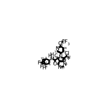 C[C@](C(=O)N[C@@H]1C[C@@H]2CC1CC2(F)F)(c1cncnc1)N(C(=O)[C@H](F)Cl)c1ccc(OC(F)(F)F)nc1